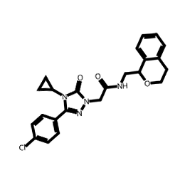 O=C(Cn1nc(-c2ccc(Cl)cc2)n(C2CC2)c1=O)NCC1OCCc2ccccc21